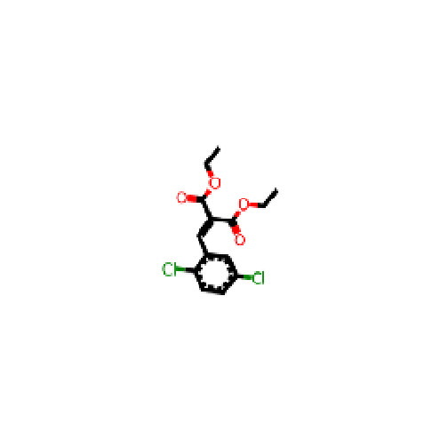 CCOC(=O)C(=Cc1cc(Cl)ccc1Cl)C(=O)OCC